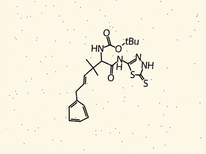 CC(C)(C)OC(=O)NC(C(=O)Nc1n[nH]c(=S)s1)C(C)(C)C=CCc1ccccc1